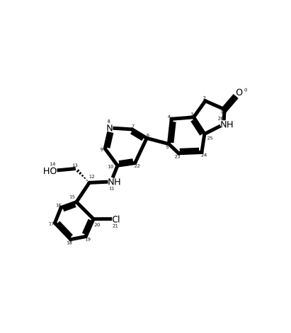 O=C1Cc2cc(-c3cncc(N[C@@H](CO)c4ccccc4Cl)c3)ccc2N1